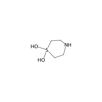 OS1(O)[CH]CNCC1